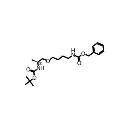 C[C@@H](COCCCCNC(=O)OCc1ccccc1)NC(=O)OC(C)(C)C